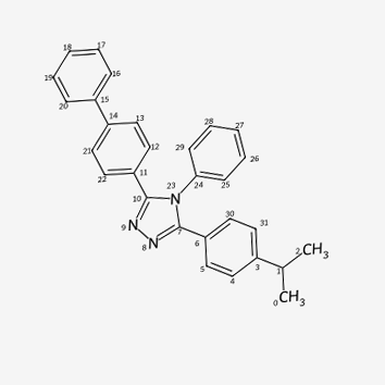 CC(C)c1ccc(-c2nnc(-c3ccc(-c4ccccc4)cc3)n2-c2ccccc2)cc1